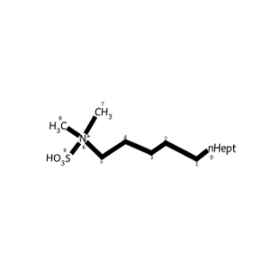 CCCCCCCCCCCC[N+](C)(C)S(=O)(=O)O